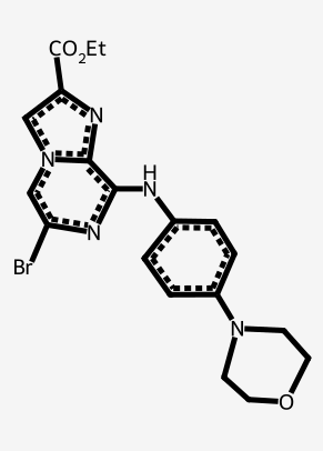 CCOC(=O)c1cn2cc(Br)nc(Nc3ccc(N4CCOCC4)cc3)c2n1